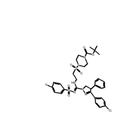 CC(C)(C)OC(=O)N1CCN(S(=O)(=O)CCN/C(=N\S(=O)(=O)c2ccc(F)cc2)N2CC(c3ccccc3)C(c3ccc(Cl)cc3)=N2)CC1